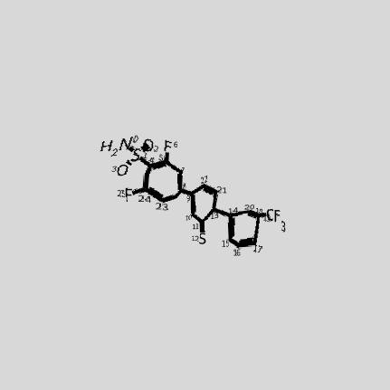 NS(=O)(=O)c1c(F)cc(C2=CC(=S)C(c3cccc(C(F)(F)F)c3)C=C2)cc1F